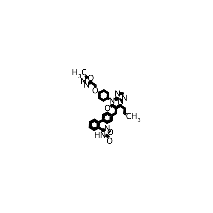 CCCc1c(Cc2ccc(-c3ccccc3-c3noc(=O)[nH]3)cc2)c(=O)n(C2CCC(OCc3nnc(C)o3)CC2)c2ncnn12